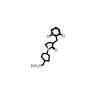 CCOC(=O)CC1CCC(N2CCC(Cc3c(Cl)cccc3Cl)C2=O)CC1